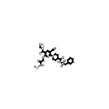 CCOC(=O)c1cc(C#N)c(N2CCC(C(=O)NS(=O)(=O)Cc3ccccc3)CC2)nc1OCC(=O)NC